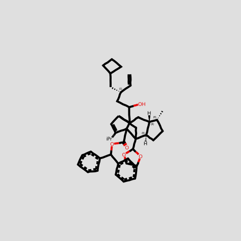 C=C[C@@H](CC1CCC1)CC(O)C12C[C@@H]3[C@H](C)CC[C@H]3C3(C4OCCO4)CC1C=C(C(C)C)C23C(=O)OC(c1ccccc1)c1ccccc1